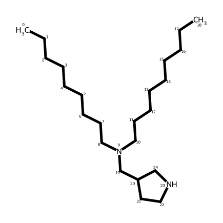 CCCCCCCCCN(CCCCCCCCC)CC1CCNC1